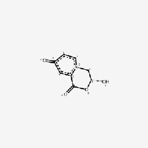 O=C1O[C@@H](O)Cn2ccc(=O)cc21